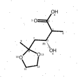 CC(C(=O)O)[C@H](O)CC1(C)OCCO1